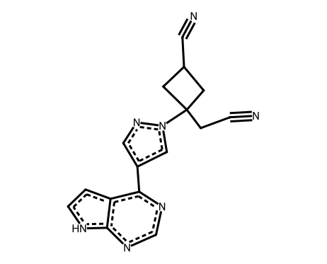 N#CCC1(n2cc(-c3ncnc4[nH]ccc34)cn2)CC(C#N)C1